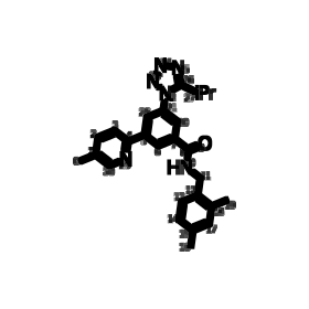 Cc1ccc(-c2cc(C(=O)NCc3ccc(C)cc3C)cc(-n3nnnc3C(C)C)c2)nc1